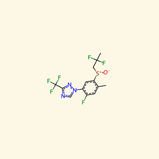 Cc1cc(F)c(-n2cnc(C(F)(F)F)n2)cc1[S@+]([O-])CC(C)(F)F